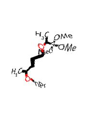 CCCOC(C)CCCOC(C)[Si](OC)(OC)OC